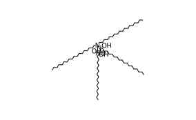 CCCCCCCCCCCCCCCCC(O)CN(CC(O)CCCCCCCCCCCCCCCC)N(CC(O)CCCCCCCCCCCCCCCC)CC(O)CCCCCCCCCCCCCCCC